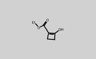 CCOC(=O)C1=C(O)CC1